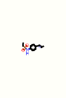 C/C=C/c1ccc(NS(=O)(=O)CC)cc1